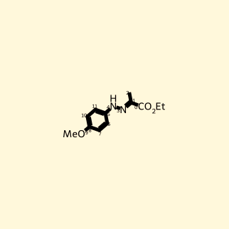 CCOC(=O)C(C)=NNc1ccc(OC)cc1